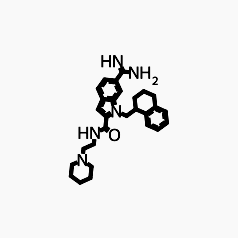 N=C(N)c1ccc2cc(C(=O)NCCN3CCCCC3)n(CC3CCCc4ccccc43)c2c1